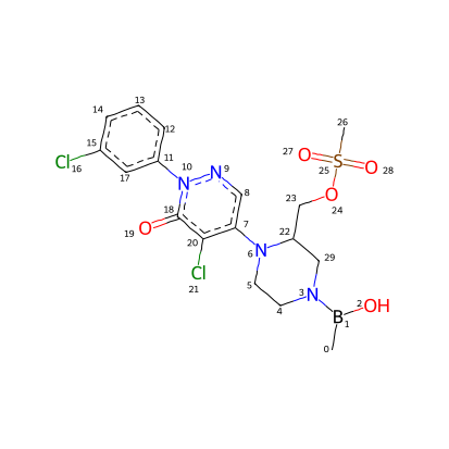 CB(O)N1CCN(c2cnn(-c3cccc(Cl)c3)c(=O)c2Cl)C(COS(C)(=O)=O)C1